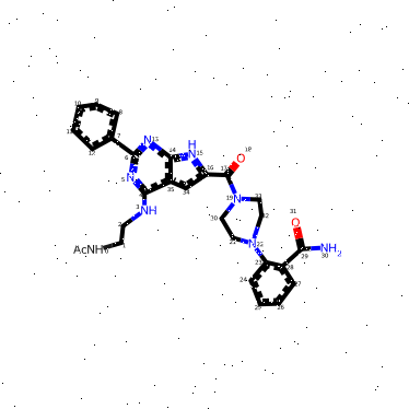 CC(=O)NCCNc1nc(-c2ccccc2)nc2[nH]c(C(=O)N3CCN(c4ccccc4C(N)=O)CC3)cc12